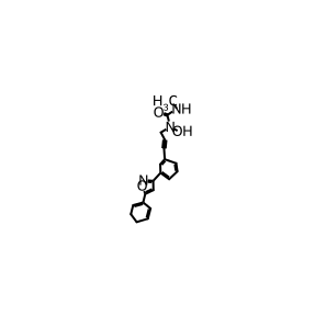 CNC(=O)N(O)CC#Cc1cccc(-c2cc(C3=CCCC=C3)on2)c1